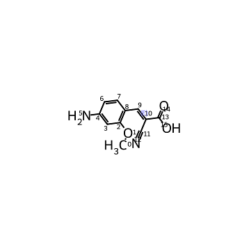 COc1cc(N)ccc1/C=C(\C#N)C(=O)O